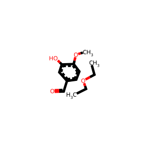 CCOCC.COc1ccc(C=O)cc1O